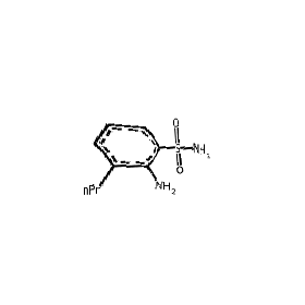 CCCc1cccc(S(N)(=O)=O)c1N